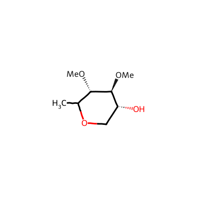 CO[C@H]1[C@H](O)COC(C)[C@@H]1OC